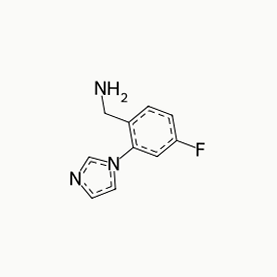 NCc1ccc(F)cc1-n1ccnc1